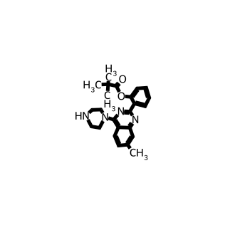 Cc1ccc2c(N3CCNCC3)nc(-c3ccccc3OC(=O)C(C)(C)C)nc2c1